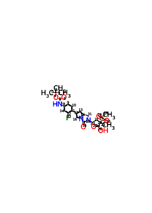 CC(C)(C)OC(=O)Nc1ccc(-c2cc3n(c2)C(=O)N(CCC(C)(C(=O)O)S(C)(=O)=O)C3)c(F)c1